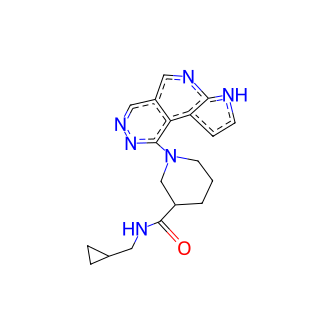 O=C(NCC1CC1)C1CCCN(c2nncc3cnc4[nH]ccc4c23)C1